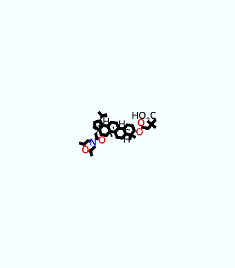 C=C(C)[C@@H]1CC[C@]2(CC(=O)N3CC(C)OC(C)C3)CC[C@]3(C)[C@H](CC[C@@H]4[C@@]5(C)CC[C@H](OC(=O)CC(C)(C)CC(=O)O)C(C)(C)[C@@H]5CC[C@]43C)[C@@H]12